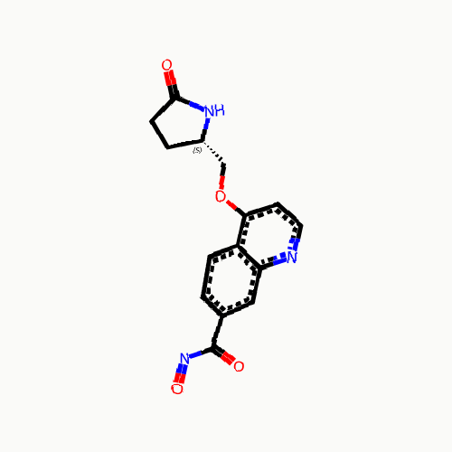 O=NC(=O)c1ccc2c(OC[C@@H]3CCC(=O)N3)ccnc2c1